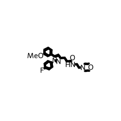 COc1cccc(-c2cc(CCC(=O)NCCN3CCOCC3)nn2-c2ccc(F)cc2)c1